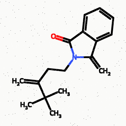 C=C1c2ccccc2C(=O)N1CCC(=C)C(C)(C)C